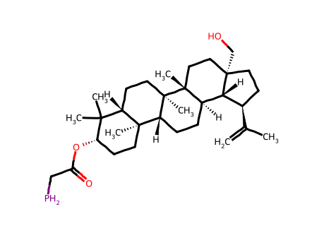 C=C(C)[C@@H]1CC[C@]2(CO)CC[C@]3(C)[C@H](CC[C@@H]4[C@@]5(C)CC[C@H](OC(=O)CP)C(C)(C)[C@@H]5CC[C@]43C)[C@@H]12